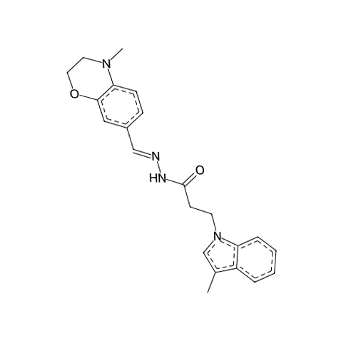 Cc1cn(CCC(=O)N/N=C/c2ccc3c(c2)OCCN3C)c2ccccc12